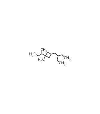 CCC(CC)CC1CC(C)(C(C)CC)C1